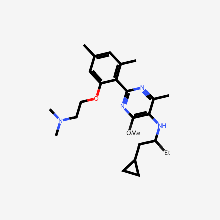 CCC(CC1CC1)Nc1c(C)nc(-c2c(C)cc(C)cc2OCCN(C)C)nc1OC